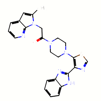 Cc1cc2cccnc2n1CC(=O)N1CCN(c2scnc2-c2nc3ccccc3[nH]2)CC1